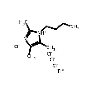 CCCC[NH+]1C(C)=NC(C)=C1C.[Cl-].[Cl-].[Cl-].[Cl-].[Ti+3]